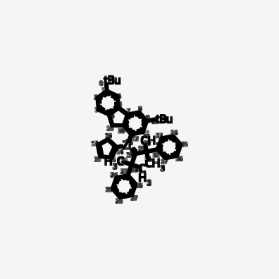 CC(C)(C)c1ccc2c(c1)-c1cc(C(C)(C)C)c[c]([Zr]([C]3=CC=CC3)=[C](C(C)(C)c3ccccc3)C(C)(C)c3ccccc3)c1C2